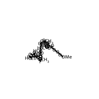 CC[C@@]1(O)C(=O)OCc2c1cc1n(c2=O)Cc2c-1nc1cc(F)c(C)c3c1c2[C@@H](NC(=O)[C@H](O)CCOCNC(=O)[C@H](C)NC(=O)[C@H](C)NC(=O)C(CNC(=O)CCOCCOCCOCCOC)N1C(=O)CC(C)C1=O)CC3